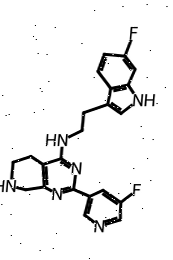 Fc1cncc(-c2nc3c(c(NCCc4c[nH]c5cc(F)ccc45)n2)CCNC3)c1